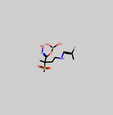 C/C(F)=C\NCCC(C)(/C(=N/O)OB(O)O)S(C)(=O)=O